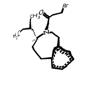 CC(C)[C@H]1CCc2ccccc2CN1C(=O)CBr